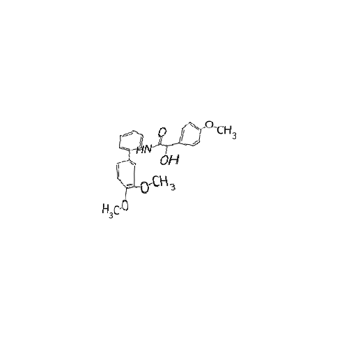 COc1ccc(C(O)C(=O)Nc2ccccc2-c2ccc(OC)c(OC)c2)cc1